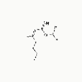 CCCC/C(C)=C\C(=N)OC(F)F